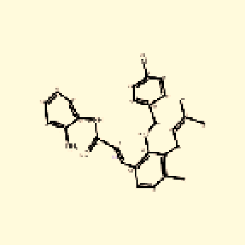 CC(C)=CCc1c(C)ccc(/C=C/C(=O)Nc2ccccc2N)c1OCc1ccc(Cl)cc1